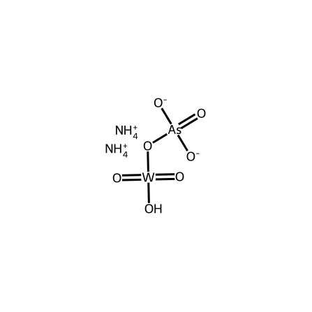 O=[As]([O-])([O-])[O][W](=[O])(=[O])[OH].[NH4+].[NH4+]